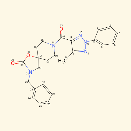 Cc1nn(-c2ccccc2)nc1C(=O)N1CCC2(CC1)CN(Cc1ccccc1)C(=O)O2